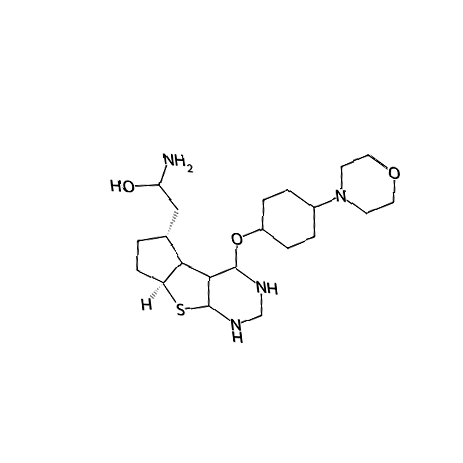 NC(O)C[C@H]1CC[C@@H]2SC3NCNC(OC4CCC(N5CCOCC5)CC4)C3C12